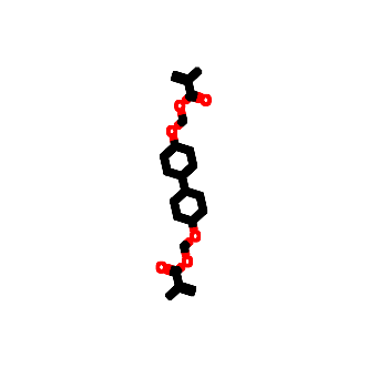 C=C(C)C(=O)OCOC1CCC(C2CCC(OCOC(=O)C(=C)C)CC2)CC1